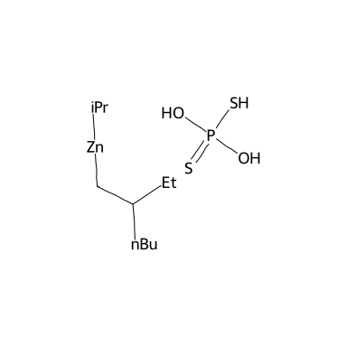 CCCCC(CC)[CH2][Zn][CH](C)C.OP(O)(=S)S